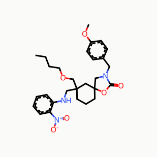 CCCCOCC1(CNc2ccccc2[N+](=O)[O-])CCCC2(CN(Cc3ccc(OC)cc3)C(=O)O2)C1